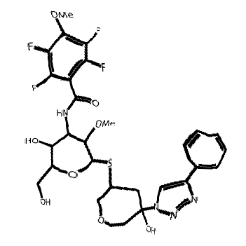 COc1c(F)c(F)c(C(=O)NC2C(O)C(CO)OC(SC3COCC(O)(n4cc(-c5ccccc5)nn4)C3)C2OC)c(F)c1F